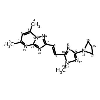 Cc1cc(C)n2nc(C=Cc3nc(N4CCC4)nn3C)nc2n1